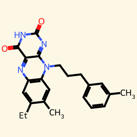 CCc1cc2nc3c(=O)[nH]c(=O)nc-3n(CCCc3cccc(C)c3)c2cc1C